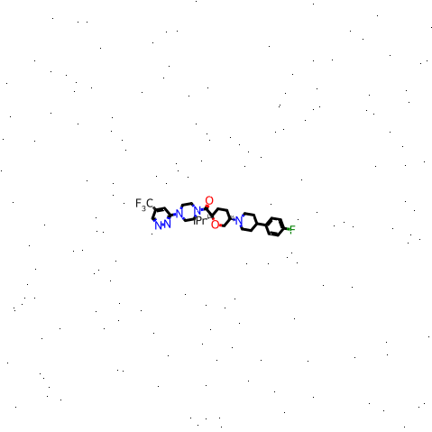 CC(C)[C@]1(C(=O)N2CCN(c3cc(C(F)(F)F)cnn3)CC2)CC[C@@H](N2CCC(c3ccc(F)cc3)CC2)CO1